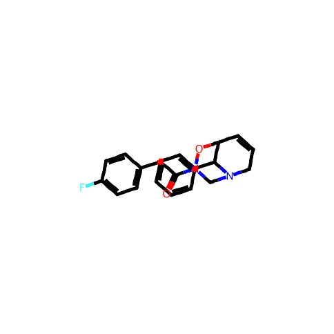 O=C(Cc1ccc(F)cc1)N1CN2CC=CC(O1)C2c1ccccc1